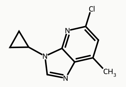 Cc1cc(Cl)nc2c1ncn2C1CC1